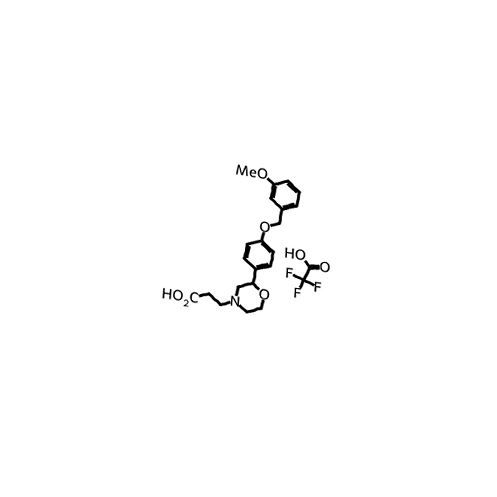 COc1cccc(COc2ccc(C3CN(CCC(=O)O)CCO3)cc2)c1.O=C(O)C(F)(F)F